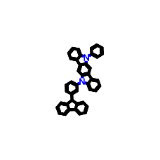 c1ccc(-n2c3ccccc3c3cc4c(cc32)c2ccccc2n4-c2cccc(C3c4ccccc4-c4ccccc43)c2)cc1